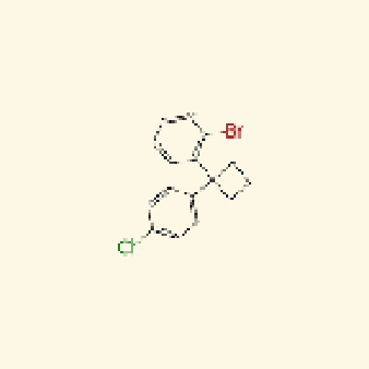 Clc1ccc(C2(c3ccc[c]c3Br)CCC2)cc1